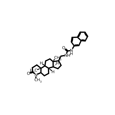 CN1C(=O)CC[C@@]2(C)C1CC[C@@H]1[C@H]2CC[C@]2(C)C(CNC(=O)Nc3ccc4ccccc4c3)CC[C@@H]12